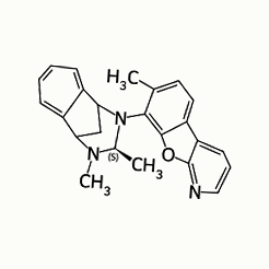 Cc1ccc2c(oc3ncccc32)c1N1C2CC(c3ccccc32)N(C)[C@@H]1C